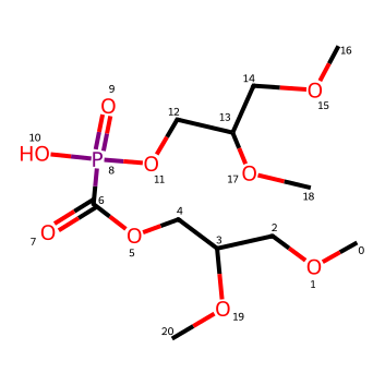 COCC(COC(=O)P(=O)(O)OCC(COC)OC)OC